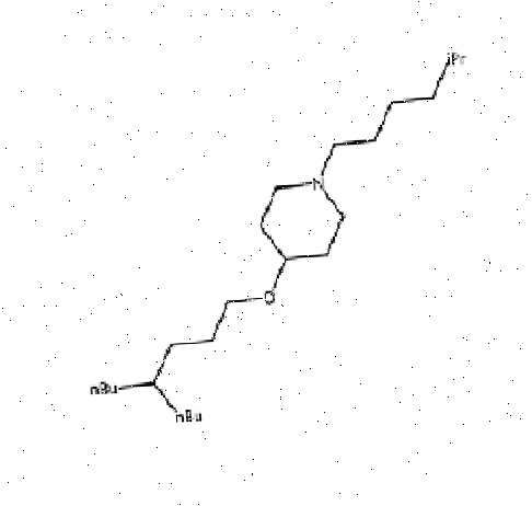 CCCCC(CCCC)CCCOC1CCN(CCCCC(C)C)CC1